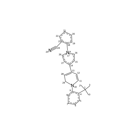 CC(C)(C)c1ccccc1N1C=CC(c2cc[n+](-c3ccccc3C#N)cc2)=CC1